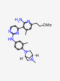 COCCc1cc(C)c(-c2ccnc(Nc3ccc(N4C[C@@H]5C[C@H]4CN5C)c(C)c3)n2)c(N)n1